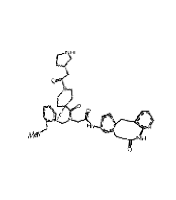 CNCc1ccccc1CN(CC(=O)Nc1ccc2c(c1)CC(=O)Nc1ncccc1C2)C(=O)C1(C)CCN(C(=O)C[C@H]2CCNC2)CC1